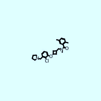 Cc1ccc(C)c(C(=O)N(C)CC2CC(Oc3cccc(CN4CCCC4)c3Cl)C2)c1